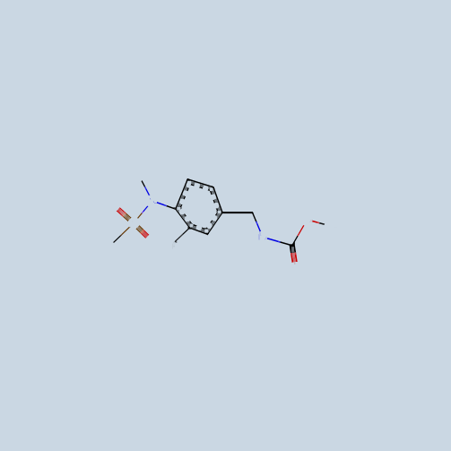 CN(c1ccc(CNC(=O)OC(C)(C)C)cc1C(=O)O)S(C)(=O)=O